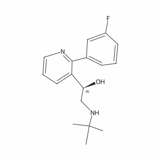 CC(C)(C)NC[C@H](O)c1cccnc1-c1cccc(F)c1